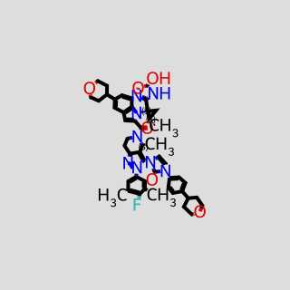 Cc1cc(-n2nc3c(c2-n2ccn(-c4ccc(C5CCOCC5)cc4)c2=O)[C@H](C)N(C(=O)c2cc4cc(C5CCOCC5)ccc4n2[C@@]2(C4=NOC(O)N4)C[C@@H]2C)CC3)cc(C)c1F